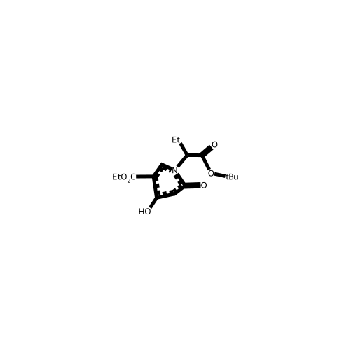 CCOC(=O)c1cn(C(CC)C(=O)OC(C)(C)C)c(=O)cc1O